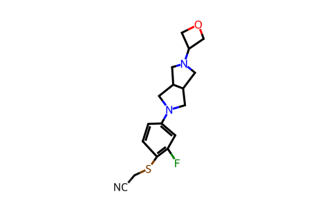 N#CCSc1ccc(N2CC3CN(C4COC4)CC3C2)cc1F